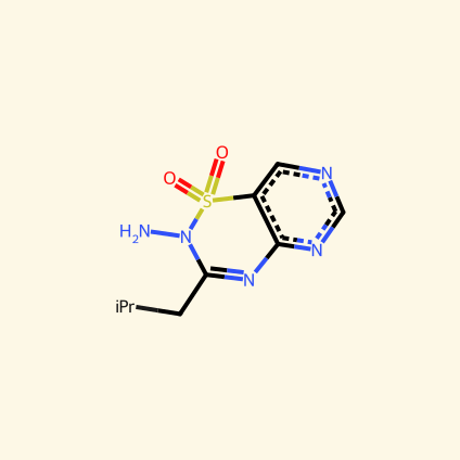 CC(C)CC1=Nc2ncncc2S(=O)(=O)N1N